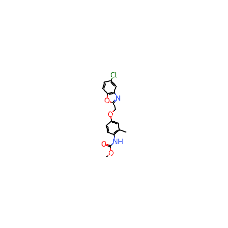 COC(=O)Nc1ccc(OCc2nc3cc(Cl)ccc3o2)cc1C